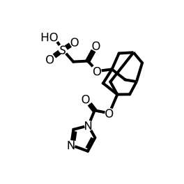 O=C(CS(=O)(=O)O)OC12CC3CC(C1)CC(OC(=O)n1ccnc1)(C3)C2